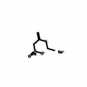 C=C(C[PH](=O)[O-])SCC.[Na+]